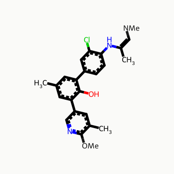 CN/C=C(/C)Nc1ccc(-c2cc(C)cc(-c3cnc(OC)c(C)c3)c2O)cc1Cl